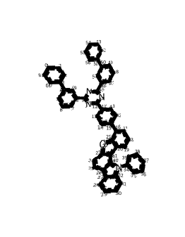 c1ccc(-c2cccc(-c3nc(-c4ccc(-c5cccc6c5oc5ccc7c8ccccc8n(-c8ccccc8)c7c56)cc4)nc(-c4cccc(-c5ccccc5)c4)n3)c2)cc1